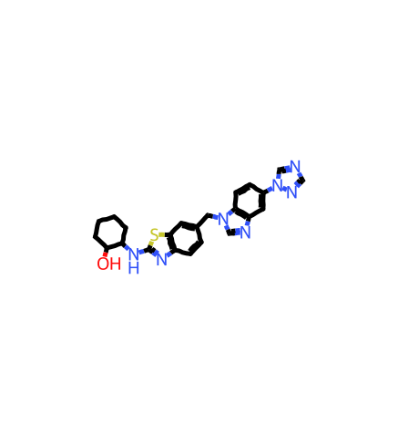 OC1CCCCC1Nc1nc2ccc(Cn3cnc4cc(-n5cncn5)ccc43)cc2s1